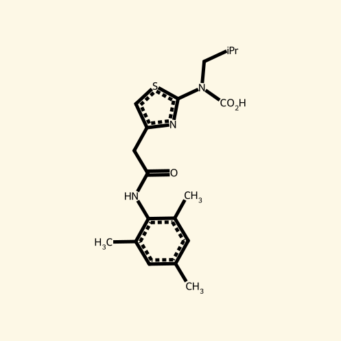 Cc1cc(C)c(NC(=O)Cc2csc(N(CC(C)C)C(=O)O)n2)c(C)c1